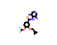 O=C(Nc1c(I)cncc1I)c1ccc(OC(F)F)c(OCC2CC2)c1